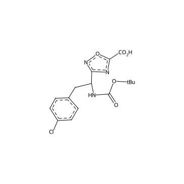 CC(C)(C)OC(=O)NC(Cc1ccc(Cl)cc1)c1noc(C(=O)O)n1